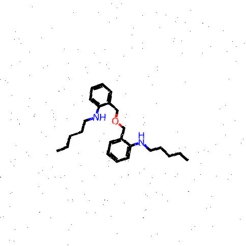 CCCCCNc1ccccc1COCc1ccccc1NCCCCC